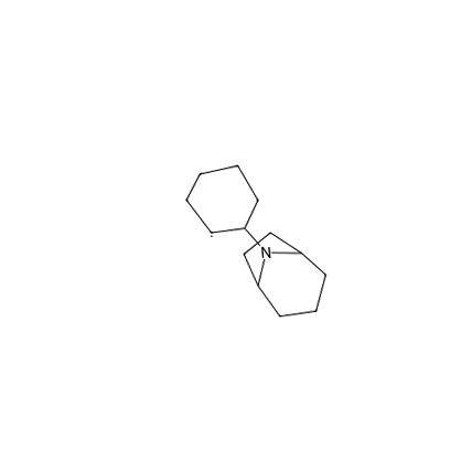 [CH]1CCCCC1N1C2CCCC1CC2